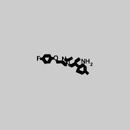 C=C/C(=C\n1cc(COc2ccc(F)cc2)nc1C)c1ccc(C)cc1N